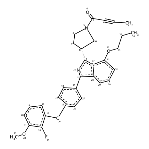 CC#CC(=O)N1CC[C@@H](c2nc(-c3ccc(Oc4cccc(OC)c4F)cc3)c3cncc(OCCC)n23)C1